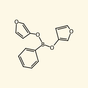 c1ccc(B(Oc2ccoc2)Oc2ccoc2)cc1